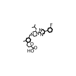 Cc1cc(CN2CCN(c3ncc(-c4cccc(F)c4)cn3)[C@H](CC(C)C)C2)cc2c1CCC(C(=O)O)O2